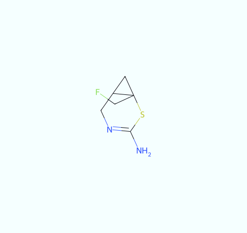 NC1=NCC2CC2(CF)S1